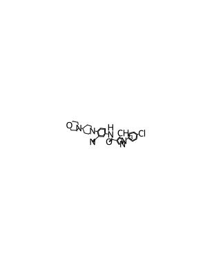 Cc1c(C(=O)Nc2ccc(N3CCC(N4CCOCC4)CC3)c(C#N)c2)cnn1-c1ccc(Cl)cc1